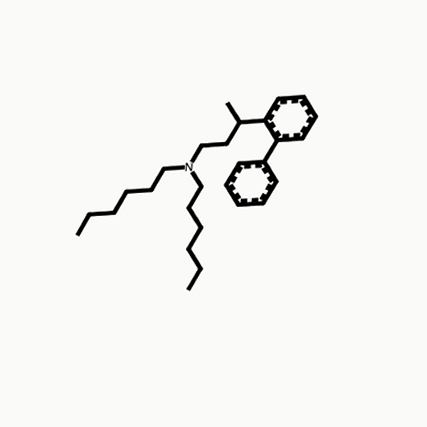 CCCCCCN(CCCCCC)CCC(C)c1ccccc1-c1ccccc1